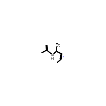 C=C(C)NC(/C=C\C)CC